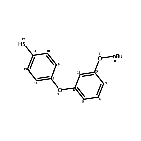 CCCCOc1cccc(Oc2ccc(S)cc2)c1